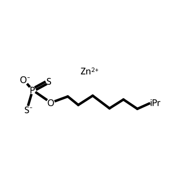 CC(C)CCCCCCOP([O-])(=S)[S-].[Zn+2]